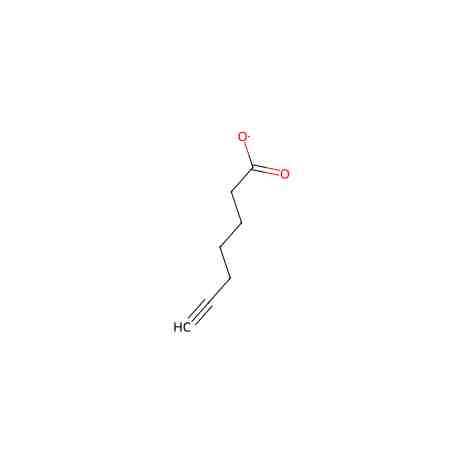 C#CCCCCC([O])=O